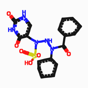 O=C(c1ccccc1)N(NN(c1c[nH]c(=O)[nH]c1=O)S(=O)(=O)O)c1ccccc1